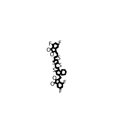 O=C1C(=O)c2c(F)cc(F)cc2/C1=C/c1cc2sc3c4sc5c(c4sc3c2s1)C1(CCCCC1)C(/C=C1\C(=O)C(=O)c2cc(F)cc(F)c21)=C5